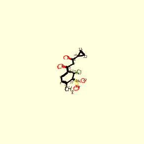 CC1=CC=C(C(=O)CC(=O)C2CC2)C(Cl)C1=S(=O)=O